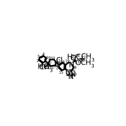 Cc1ccccc1C1(O)CCC(Cl)(c2ccc3c(c2)CN(C(=O)OC(C)(C)C)Cc2nncn2-3)CC1